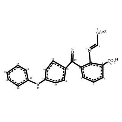 CCCCCCC=Nc1c(C(=O)O)cccc1C(=O)c1ccc(Sc2ccccc2)cc1